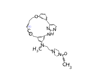 CC#CC(=O)N1CCN(CCN(C)c2cc3cc(c2)Nc2nccc(n2)-c2cccc(c2)OCC/C=C/COC3)CC1